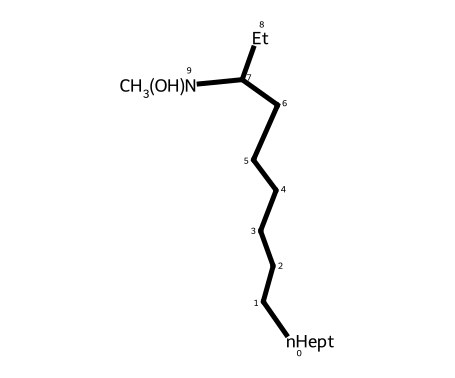 CCCCCCCCCCCCCC(CC)N(C)O